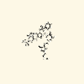 C=C1C[C@H](CCC=O)OC1CC[C@H]1C[C@@H](C)C(=C)[C@@H](C[C@@H]2O[C@H](CC(CO[Si](C)(C)C(C)(C)C)O[Si](C)(C)C(C)(C)C)[C@H](OC)[C@H]2CS(=O)(=O)c2ccccc2)O1